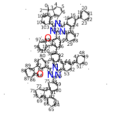 CC1(C)c2ccccc2-c2c(-c3nc(-c4ccc(-c5ccccc5)cc4-c4ccccc4)nc(-c4ccc(-c5cccc(-c6cc(-c7ccccc7)ccc6-c6nc(-c7ccc8c9ccccc9c9ccccc9c8c7)nc(-c7cccc8c7oc7ccccc78)n6)c5)c5c4oc4ccccc45)n3)cccc21